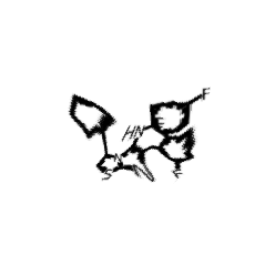 Fc1ccc(Nc2c(-c3c(F)cccc3F)nc3scc(C4=CC=CCC4)n23)cc1